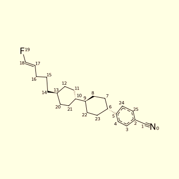 N#Cc1ccc([C@H]2CC[C@H]([C@H]3CC[C@H](CCC/C=C/F)CC3)CC2)cc1